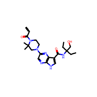 C=CC(=O)N1CCN(c2cnc3[nH]cc(C(=O)NC(CC)(CC)CO)c3n2)CC1(C)C